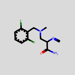 C=NC(CN(C)Cc1c(F)cccc1F)C(N)=O